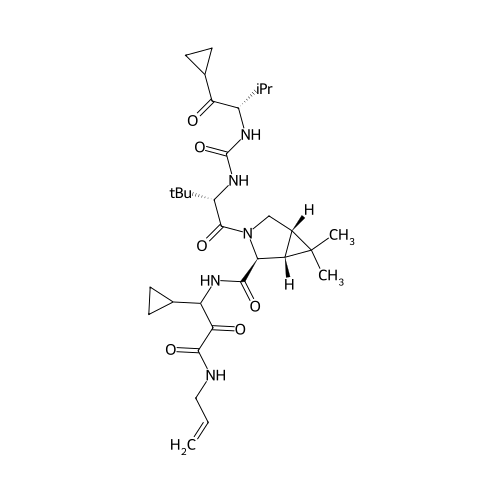 C=CCNC(=O)C(=O)C(NC(=O)[C@@H]1[C@@H]2[C@H](CN1C(=O)[C@@H](NC(=O)N[C@H](C(=O)C1CC1)C(C)C)C(C)(C)C)C2(C)C)C1CC1